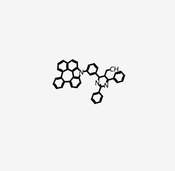 CCC1C(c2ccccc2)=NC(c2ccccc2)=NC1c1cccc(-n2c3cccc4c3c3c5c(cccc5ccc32)-c2ccccc2-4)c1